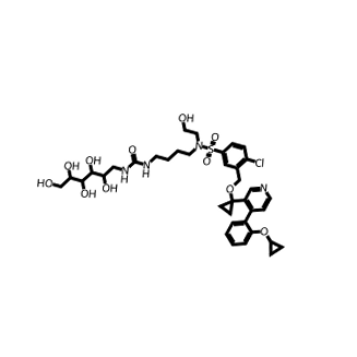 O=C(NCCCCN(CCO)S(=O)(=O)c1ccc(Cl)c(COC2(c3cnccc3-c3ccccc3OC3CC3)CC2)c1)NCC(O)C(O)C(O)C(O)CO